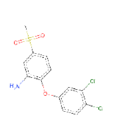 CS(=O)(=O)c1ccc(Oc2ccc(Cl)c(Cl)c2)c(N)c1